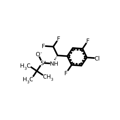 CC(C)(C)[S+]([O-])N[C@@H](c1cc(F)c(Cl)cc1F)C(F)F